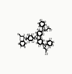 CCCN(c1ccccc1)c1ccc(-n2c3ccc(N(CCC)c4ccccc4)cc3c3cc(N(CCC)c4ccccc4)ccc32)cc1